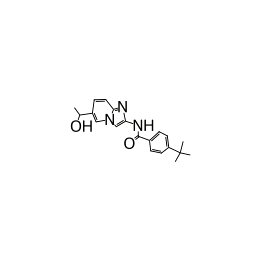 CC(O)c1ccc2nc(NC(=O)c3ccc(C(C)(C)C)cc3)cn2c1